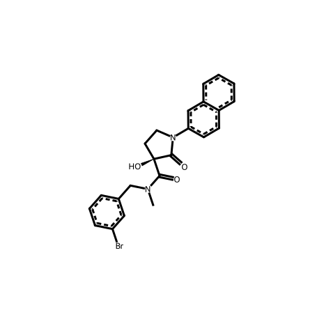 CN(Cc1cccc(Br)c1)C(=O)[C@]1(O)CCN(c2ccc3ccccc3c2)C1=O